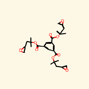 CC(C)(CC1CO1)OC(=O)c1cc(C(=O)OC(C)(C)CC2CO2)cc(C(=O)OC(C)(C)CC2CO2)c1